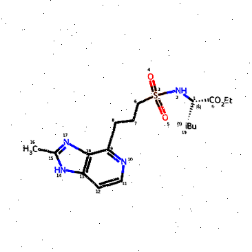 CCOC(=O)[C@@H](NS(=O)(=O)CCCc1nccc2[nH]c(C)nc12)[C@@H](C)CC